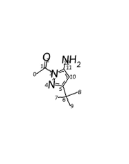 CC(=O)n1nc(C(C)(C)C)cc1N